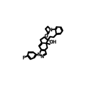 CC12Cc3cnn(-c4ccc(F)cc4)c3C=C1CC[C@@]2(O)CCc1ccccc1N1CCC1=O